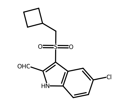 O=Cc1[nH]c2ccc(Cl)cc2c1S(=O)(=O)CC1CCC1